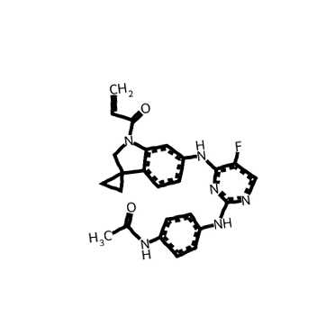 C=CC(=O)N1CC2(CC2)c2ccc(Nc3nc(Nc4ccc(NC(C)=O)cc4)ncc3F)cc21